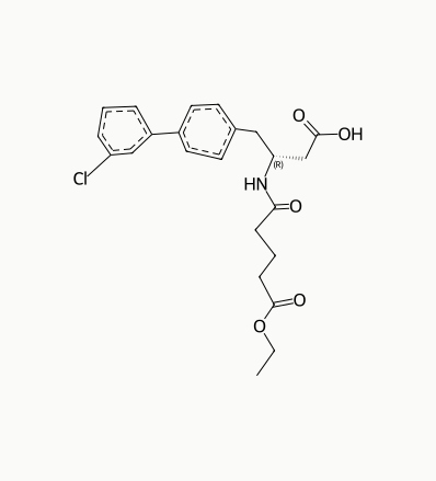 CCOC(=O)CCCC(=O)N[C@@H](CC(=O)O)Cc1ccc(-c2cccc(Cl)c2)cc1